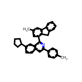 Cc1ccc(-c2cc3ccc(C4CCCC4)cc3c(-c3cc(C)cc4c3Cc3ccccc3-4)n2)cc1